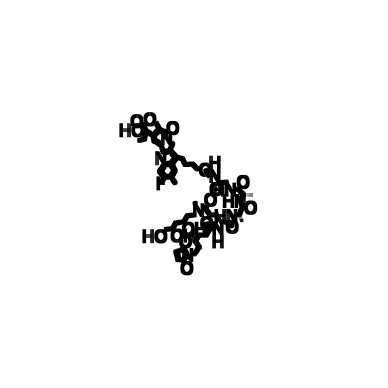 CC[C@@]1(O)C(=O)OCc2c1cc1n(c2=O)Cc2c-1nc1cc(F)c(C)cc1c2CCCCOCNC(=O)CNC(=O)[C@H](C)NC(=O)[C@H](C)NC(=O)[C@H](CCC(=O)N(C)CC[C@@H](O)C[C@H](O)CO)NC(=O)CCCCCN1C(=O)C=CC1=O